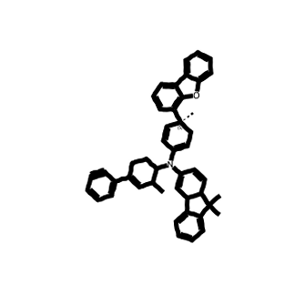 CC1C=C(c2c#cccc2)CCC1N(C1=CC[C@](C)(c2cccc3c2oc2ccccc23)C=C1)C1=CC2c3ccccc3C(C)(C)C2C=C1